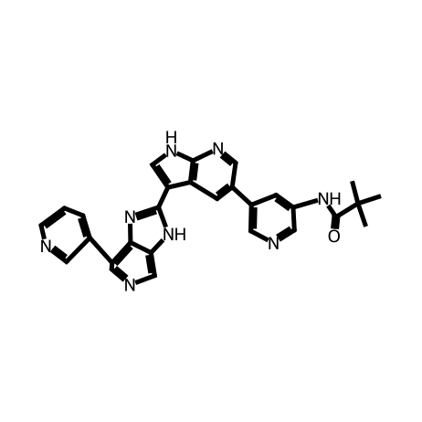 CC(C)(C)C(=O)Nc1cncc(-c2cnc3[nH]cc(-c4nc5c(-c6cccnc6)cncc5[nH]4)c3c2)c1